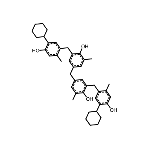 Cc1cc(O)c(C2CCCCC2)cc1Cc1cc(Cc2cc(C)c(O)c(Cc3cc(C4CCCCC4)c(O)cc3C)c2)cc(C)c1O